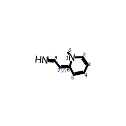 CN1C=CC=C/C1=C/C=N